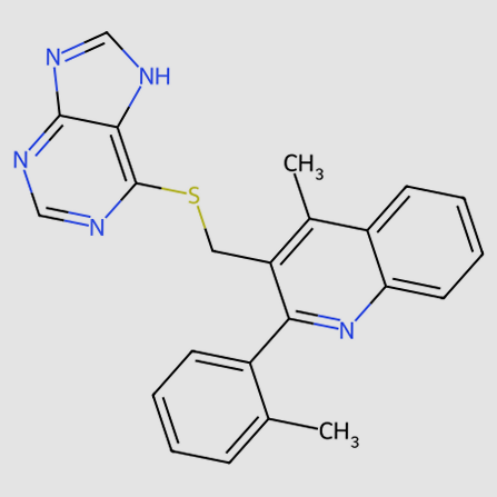 Cc1ccccc1-c1nc2ccccc2c(C)c1CSc1ncnc2nc[nH]c12